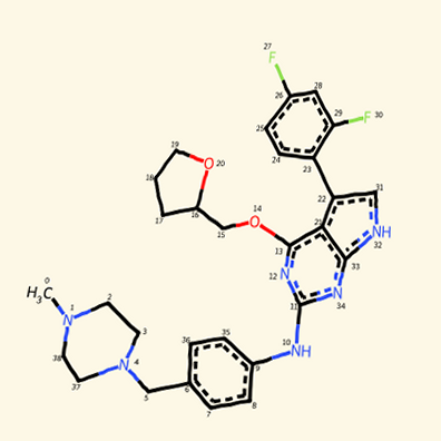 CN1CCN(Cc2ccc(Nc3nc(OCC4CCCO4)c4c(-c5ccc(F)cc5F)c[nH]c4n3)cc2)CC1